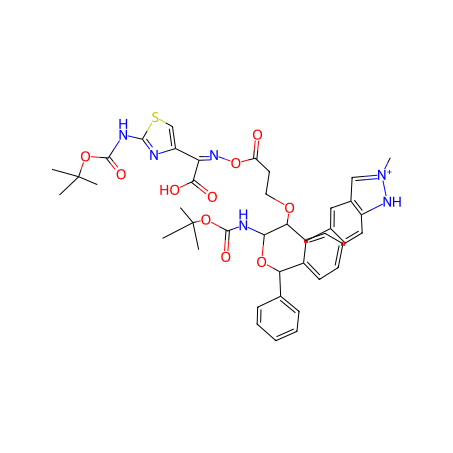 C[n+]1cc2cc(CC(OCCC(=O)O/N=C(\C(=O)O)c3csc(NC(=O)OC(C)(C)C)n3)C(NC(=O)OC(C)(C)C)OC(c3ccccc3)c3ccccc3)ccc2[nH]1